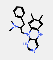 Cc1cc2c(cc1C)N(CC(Cc1ccccc1)N(C)C)C1NC=NC=C1N2